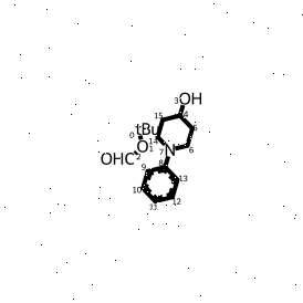 CC(C)(C)OC=O.OC1CCN(c2ccccc2)CC1